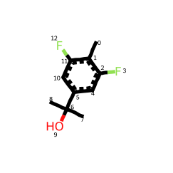 Cc1c(F)cc(C(C)(C)O)cc1F